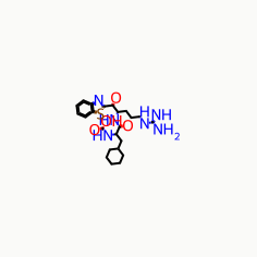 N=C(N)NCCCC(NC(=O)C(CC1CCCCC1)NC(=O)O)C(=O)c1nc2ccccc2s1